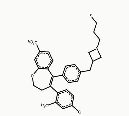 Cc1cc(Cl)ccc1C1=C(c2ccc(CC3CN(CCCF)C3)cc2)c2ccc(C(=O)O)cc2OCC1